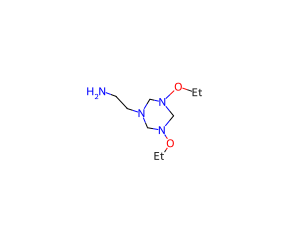 CCON1CN(CCN)CN(OCC)C1